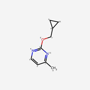 Cc1ccnc(OCC2CC2)n1